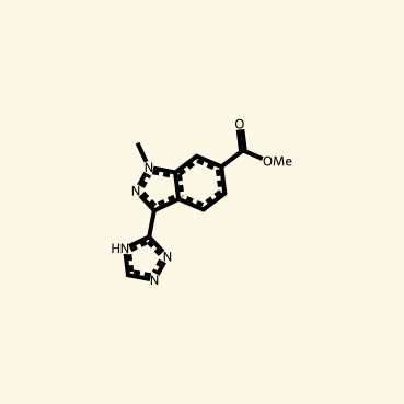 COC(=O)c1ccc2c(-c3nnc[nH]3)nn(C)c2c1